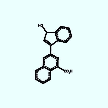 O=C(O)c1nc(C2=CC(O)c3ccccc32)cc2ccccc12